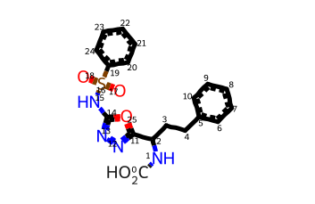 O=C(O)NC(CCc1ccccc1)c1nnc(NS(=O)(=O)c2ccccc2)o1